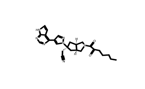 CCCCCC(=O)C(=O)N1C[C@@H]2C[C@](CC#N)(n3cc(-c4ncnc5[nH]ccc45)cn3)C[C@@H]2C1